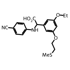 CCOc1cc(OCCSC)cc(C(Nc2ccc(C#N)cc2)C(=O)O)c1